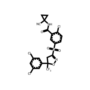 N#CC1(NC(=O)c2cc(S(=O)(=O)C3=NOC(c4cc(Cl)cc(Cl)c4)(C(F)(F)F)C3)ccc2Cl)CC1